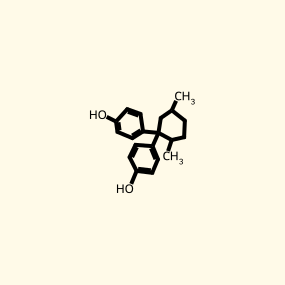 CC1CCC(C)C(c2ccc(O)cc2)(c2ccc(O)cc2)C1